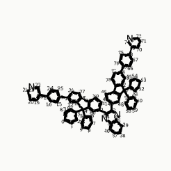 c1ccc(C2(c3ccccc3)c3cc(-c4ccc(-c5cccnc5)cc4)ccc3-c3ccc(-c4nc5ccccc5nc4-c4ccc5c(c4)C(c4ccccc4)(c4ccccc4)c4cc(-c6ccc(-c7cccnc7)cc6)ccc4-5)cc32)cc1